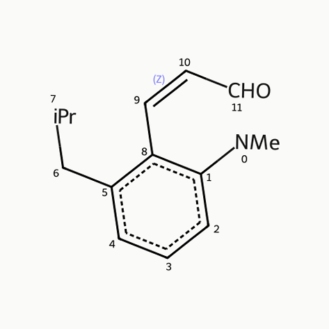 CNc1cccc(CC(C)C)c1/C=C\C=O